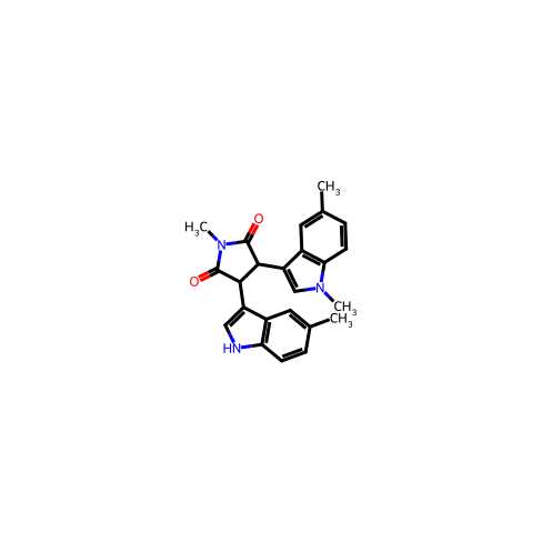 Cc1ccc2[nH]cc(C3C(=O)N(C)C(=O)C3c3cn(C)c4ccc(C)cc34)c2c1